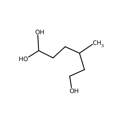 CC(CCO)CCC(O)O